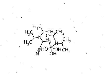 CC(C)N(C(C)C)C(C#N)CP(O)(O)(O)N(C(C)C)C(C)C